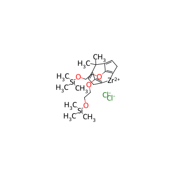 CC1(C)C2=CC[C](=C2OCCO[Si](C)(C)C)[Zr+2][C]2=C(OCCO[Si](C)(C)C)C1=CC2.[Cl-].[Cl-]